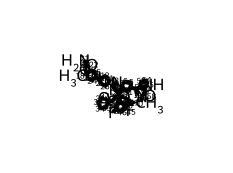 Cn1cc(-c2ccc3nc(N4CCC(N5CCC(C)(OC(N)=O)CC5)CC4)nc(C(COC4CCCCO4)(OC4CC4)c4cc(F)cc(F)c4)c3c2)c2cc[nH]c2c1=O